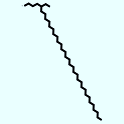 [CH2]CCCC(CC)CCCCCCCCCCCCCCCCCCCCCCCCCCCCCC